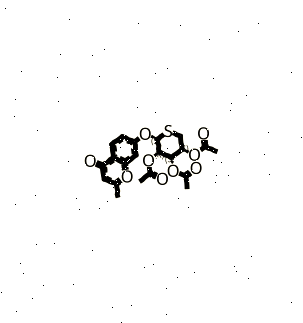 CC(=O)O[C@@H]1[C@@H](OC(C)=O)[C@@H](Oc2ccc3c(=O)cc(C)oc3c2)SC[C@H]1OC(C)=O